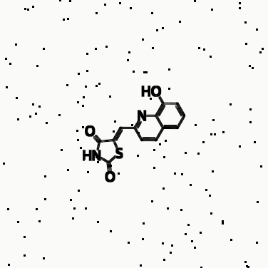 O=C1NC(=O)/C(=C/c2ccc3cccc(O)c3n2)S1